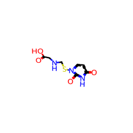 O=C(O)CNCSn1ccc(=O)[nH]c1=O